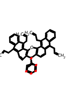 C=CCc1c2ccccc2c(CC=C)c2c(Oc3c(Sc4ccccc4)ccc4c(CC=C)c5ccccc5c(CC=C)c34)c(Sc3ccccc3)ccc12